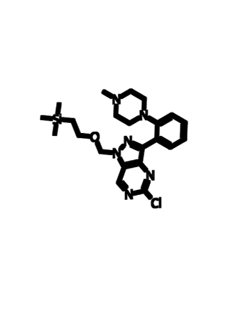 CN1CCN(c2ccccc2-c2nn(COCC[Si](C)(C)C)c3cnc(Cl)nc23)CC1